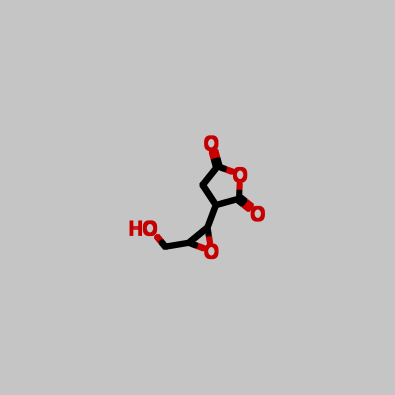 O=C1CC(C2OC2CO)C(=O)O1